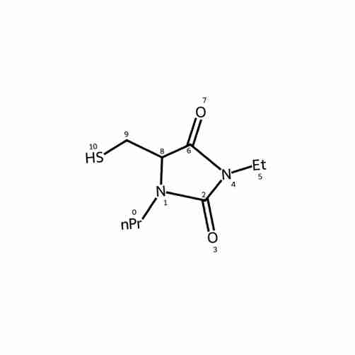 CCCN1C(=O)N(CC)C(=O)C1CS